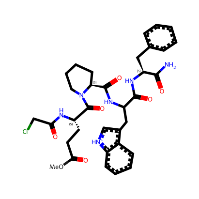 COC(=O)CC[C@H](NC(=O)CCl)C(=O)N1CCCC[C@H]1C(=O)NC(Cc1c[nH]c2ccccc12)C(=O)N[C@@H](Cc1ccccc1)C(N)=O